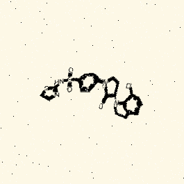 O=C1[C@@H](N2CCc3cccc(Cl)c32)CCN1c1ccc(S(=O)(=O)Nc2nccs2)cc1